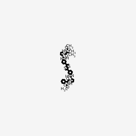 COC(=O)N[C@H](C(=O)N1CCC[C@H]1c1nc2ccc(-c3csc4c(-c5ccc6nc([C@@H]7CCCN7C(=O)[C@H](NC(=O)OC)C7C=CC=CC7)[nH]c6c5)csc34)cc2[nH]1)C(C)C